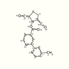 Cc1ccnc(-c2cc(C(=O)ON3C(=C=O)CCC3=C=O)ccn2)c1